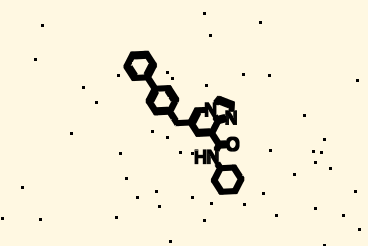 O=C(NC1CCCCC1)c1cc(Cc2ccc(-c3ccccc3)cc2)cn2ccnc12